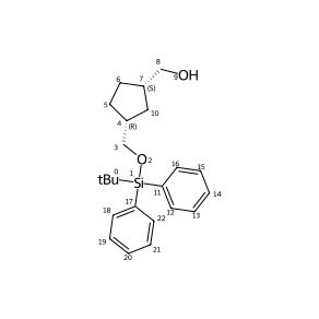 CC(C)(C)[Si](OC[C@@H]1CC[C@H](CO)C1)(c1ccccc1)c1ccccc1